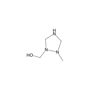 CN1CNCN1CO